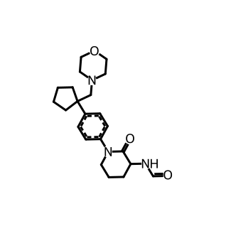 O=CNC1CCCN(c2ccc(C3(CN4CCOCC4)CCCC3)cc2)C1=O